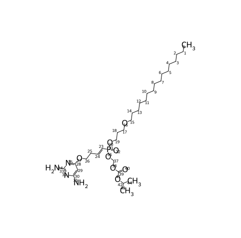 CCCCCCCCCCCCCCCCOCCCOP(=O)(/C=C/CCOc1cc(N)nc(N)n1)OCOC(=O)OC(C)C